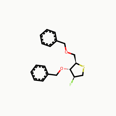 F[C@@H]1CS[C@H](COCc2ccccc2)[C@H]1OCc1ccccc1